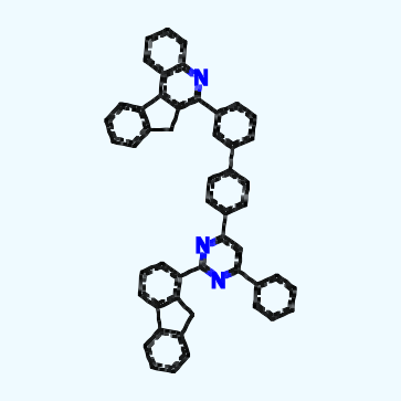 c1ccc(-c2cc(-c3ccc(-c4cccc(-c5nc6ccccc6c6c5Cc5ccccc5-6)c4)cc3)nc(-c3cccc4c3Cc3ccccc3-4)n2)cc1